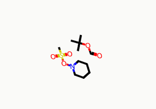 CC(C)(C)OC=O.CS(=O)(=O)ON1CCCCC1